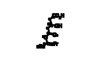 CCCCC(CCC)OC(=O)C[C@@H](O)CC(=O)O